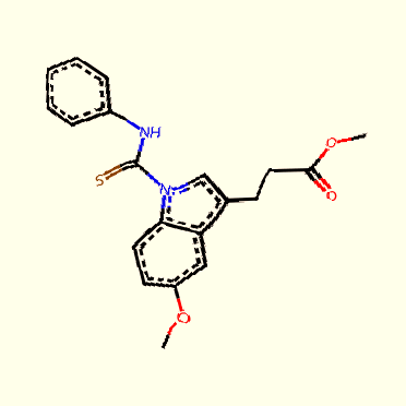 COC(=O)CCc1cn(C(=S)Nc2ccccc2)c2ccc(OC)cc12